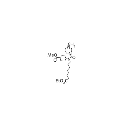 CCOC(=O)CCCCCCCN(C(=O)N1CCCN(C)CC1)C1CCC(C(=O)OC)CC1